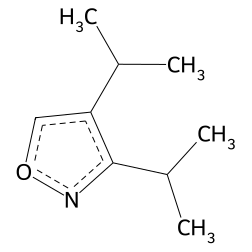 CC(C)c1conc1C(C)C